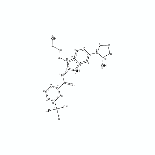 O=C(/N=c1\[nH]c2cc(N3CCCC3O)ccc2n1CCCO)c1cccc(C(F)(F)F)c1